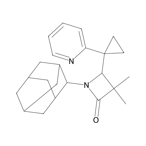 CC1(C)C(=O)N(C2C3CC4CC(C3)CC2C4)C1C1(c2ccccn2)CC1